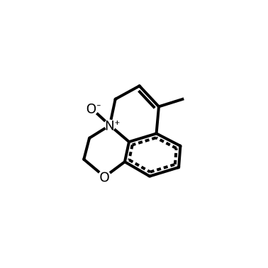 CC1=CC[N+]2([O-])CCOc3cccc1c32